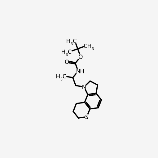 CC(CN1CCc2ccc3c(c21)CCCS3)NC(=O)OC(C)(C)C